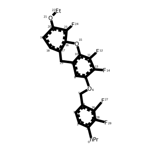 CCCc1ccc(COc2cc3c(c(F)c2F)Oc2c(ccc(OCC)c2F)C3)c(F)c1F